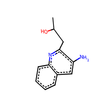 CC(O)Cc1nc2ccccc2cc1N